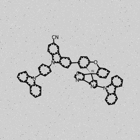 N#Cc1ccc2c(c1)c1cc(-c3ccc4c(c3)[C@@]3(c5ccccc5O4)c4cccnc4-c4ncc(-n5c6ccccc6c6ccccc65)cc43)ccc1n2-c1ccc(-n2c3ccccc3c3ccccc32)cc1